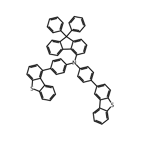 c1ccc(C2(c3ccccc3)c3ccccc3-c3c(N(c4ccc(-c5ccc6sc7ccccc7c6c5)cc4)c4ccc(-c5cccc6sc7ccccc7c56)cc4)cccc32)cc1